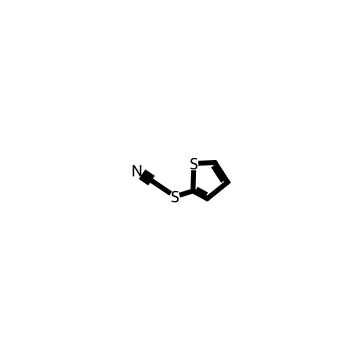 N#CSc1cccs1